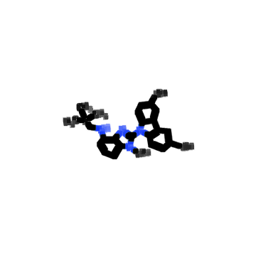 CCCCn1c(-n2c3ccc(C(C)(C)C)cc3c3cc(C(C)(C)C)ccc32)nc2c(NC[Si](C)(C)C)cccc21